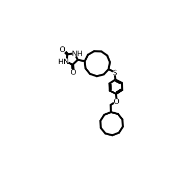 O=C1NC(=O)C(C2CCCCCC(Sc3ccc(OCC4CCCCCCCCC4)cc3)CCCC2)N1